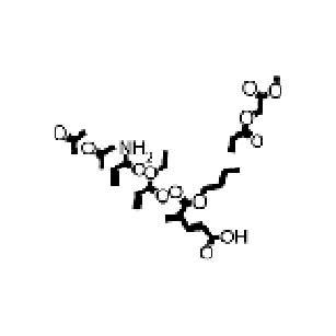 C=C(C=CC(=O)O)C(=O)OCCCC.C=CC(=O)OCC.C=CC(=O)OCC(=O)OC.C=CC(N)=O.CC(C)=O.CC(C)=O